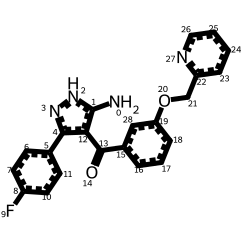 Nc1[nH]nc(-c2ccc(F)cc2)c1C(=O)c1cccc(OCc2ccccn2)c1